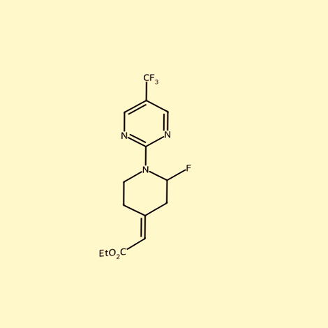 CCOC(=O)C=C1CCN(c2ncc(C(F)(F)F)cn2)C(F)C1